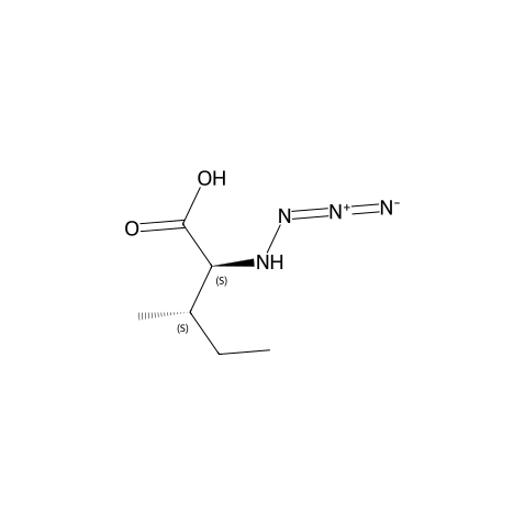 CC[C@H](C)[C@H](NN=[N+]=[N-])C(=O)O